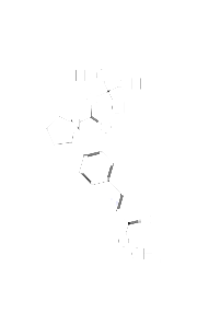 COC(=O)/C=C/c1ccc(C2CCCN2C(=O)OC(C)(C)C)cc1